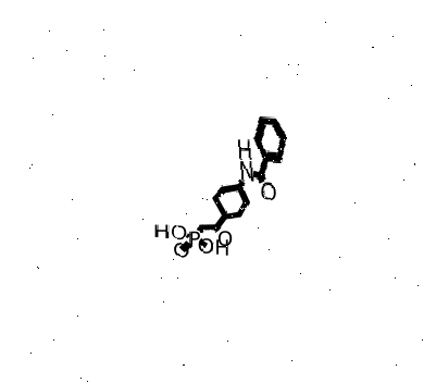 O=C(NC1CCC(C(=O)CP(=O)(O)O)CC1)c1ccccc1